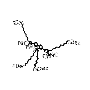 [C-]#[N+]C([N+]#[C-])=c1s/c(=c2/ccc3c(c2)[Si](CCCCCCCCCCCCCCCCCCCC)(CCCCCCCCCCCCCCCCCCCC)c2c/c(=c4/cc(CCCCCCCCCCCCCCCCCCCC)/c(=C(/C)C#N)s4)ccc2=3)cc1CCCCCCCCCCCCCCCCCCCC